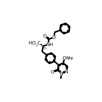 COc1cnn(C)c(=O)c1-c1ccc(C[C@H](NC(=O)OCc2ccccc2)C(=O)O)cc1